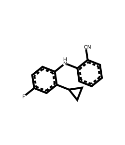 N#Cc1ccccc1Nc1ccc(F)cc1C1CC1